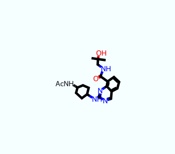 CC(=O)NC1CCC(Nc2ncc3cccc(C(=O)NCC(C)(C)O)c3n2)CC1